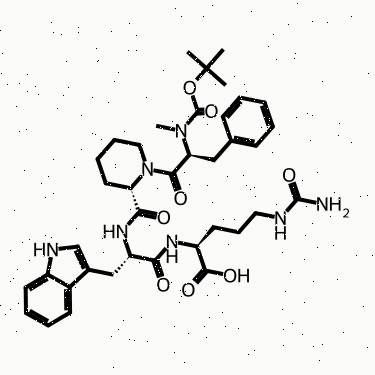 CN(C(=O)OC(C)(C)C)[C@@H](Cc1ccccc1)C(=O)N1CCCC[C@H]1C(=O)N[C@@H](Cc1c[nH]c2ccccc12)C(=O)N[C@@H](CCCNC(N)=O)C(=O)O